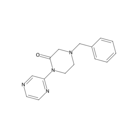 O=C1CN(Cc2ccccc2)CCN1c1cnccn1